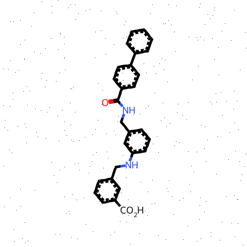 O=C(O)c1cccc(CNc2cccc(CNC(=O)c3ccc(-c4ccccc4)cc3)c2)c1